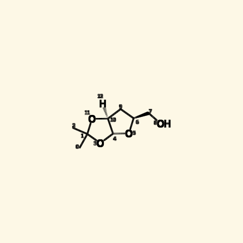 CC1(C)OC2O[C@H](CO)C[C@@H]2O1